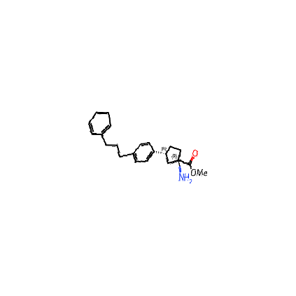 COC(=O)[C@@]1(N)CC[C@@H](c2ccc(CCCc3ccccc3)cc2)C1